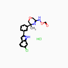 CC1(c2cccc(-c3cc4ccc(Cl)cc4[nH]3)c2)COCC(NOC=O)=N1.Cl